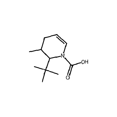 CC1CC=CN(C(=O)O)C1C(C)(C)C